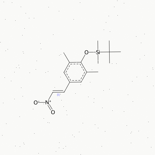 Cc1cc(/C=C/[N+](=O)[O-])cc(C)c1O[Si](C)(C)C(C)(C)C